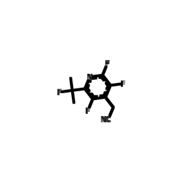 CC(C)(F)c1nc(F)c(F)c(CC#N)c1F